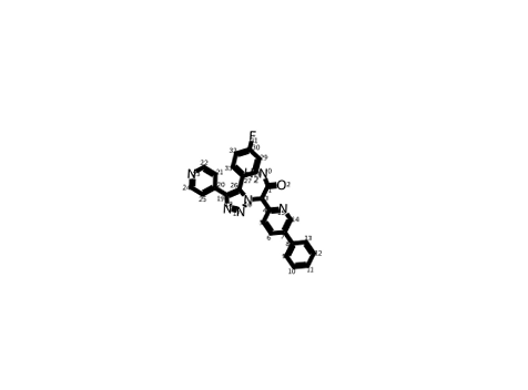 NC(=O)C(c1ccc(-c2ccccc2)cn1)n1nnc(-c2ccncc2)c1-c1ccc(F)cc1